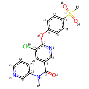 CN(C(=O)c1cnc(Oc2ccc(S(C)(=O)=O)cc2)c(Cl)c1)c1cccnc1